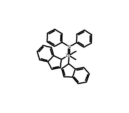 [CH3][Zr]([CH3])([CH]1C=Cc2ccccc21)([CH]1C=Cc2ccccc21)=[Si](c1ccccc1)c1ccccc1